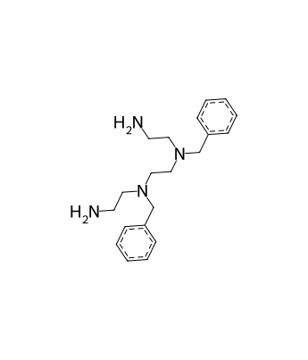 NCCN(CCN(CCN)Cc1ccccc1)Cc1ccccc1